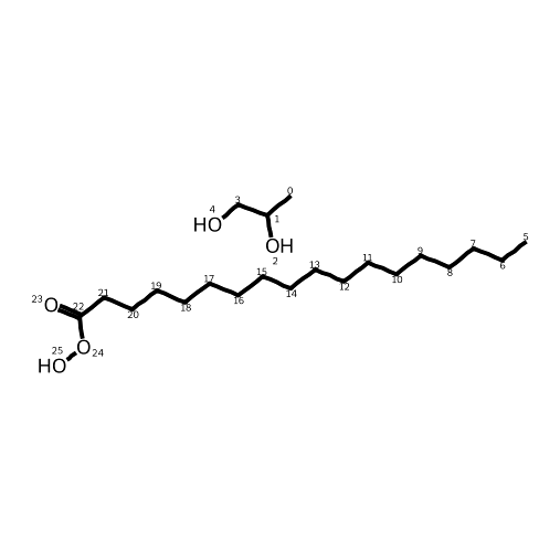 CC(O)CO.CCCCCCCCCCCCCCCCCC(=O)OO